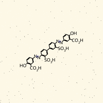 O=C(O)c1cc(/N=N/c2ccc(-c3ccc(/N=N/c4ccc(O)c(C(=O)O)c4)c(S(=O)(=O)O)c3)cc2S(=O)(=O)O)ccc1O